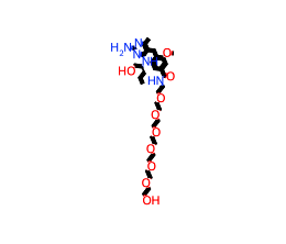 CCC[C@@H](CO)Nc1nc(N)nc(C)c1Cc1ccc(C(=O)NCCOCCOCCOCCOCCOCCOCCO)cc1OC